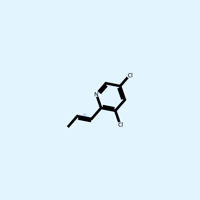 C/C=C/c1ncc(Cl)cc1Cl